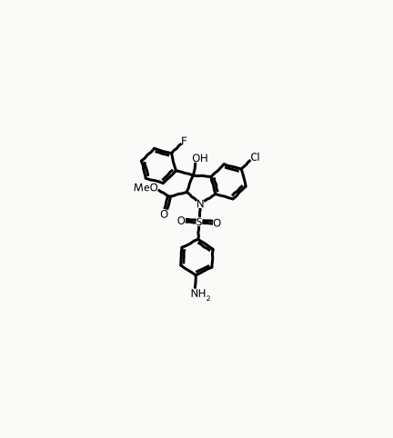 COC(=O)C1N(S(=O)(=O)c2ccc(N)cc2)c2ccc(Cl)cc2C1(O)c1ccccc1F